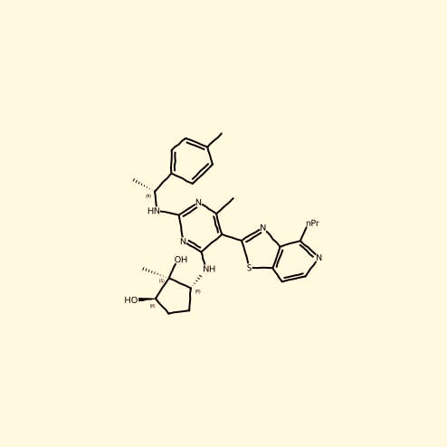 CCCc1nccc2sc(-c3c(C)nc(N[C@H](C)c4ccc(C)cc4)nc3N[C@@H]3CC[C@@H](O)[C@@]3(C)O)nc12